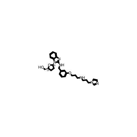 OC[C@@H]1CC[C@H](n2c(NCc3cccc(OCCCNCCCn4ccnc4)c3)nc3ccccc32)O1